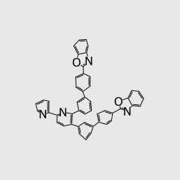 c1ccc(-c2ccc(-c3cccc(-c4ccc(-c5nc6ccccc6o5)cc4)c3)c(-c3cccc(-c4ccc(-c5nc6ccccc6o5)cc4)c3)n2)nc1